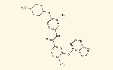 Cc1cc(NC(=O)c2ccc(C)c(Oc3ncnc4[nH]ccc34)c2)ccc1CN1CCN(C)CC1